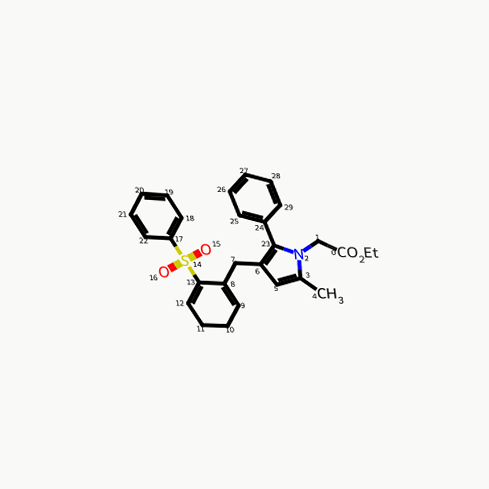 CCOC(=O)Cn1c(C)cc(CC2=CCCC=C2S(=O)(=O)c2ccccc2)c1-c1ccccc1